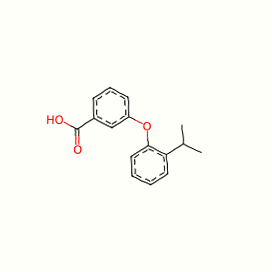 CC(C)c1ccccc1Oc1cccc(C(=O)O)c1